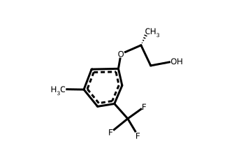 Cc1cc(O[C@H](C)CO)cc(C(F)(F)F)c1